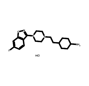 Cl.NC1CCC(CCN2CCN(c3noc4cc(F)ccc34)CC2)CC1